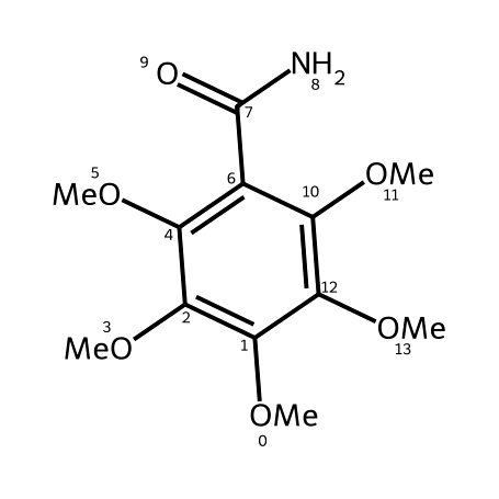 COc1c(OC)c(OC)c(C(N)=O)c(OC)c1OC